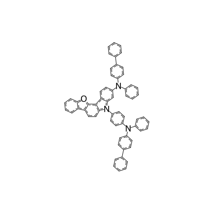 c1ccc(-c2ccc(N(c3ccccc3)c3ccc(-n4c5cc(N(c6ccccc6)c6ccc(-c7ccccc7)cc6)ccc5c5c6oc7ccccc7c6ccc54)cc3)cc2)cc1